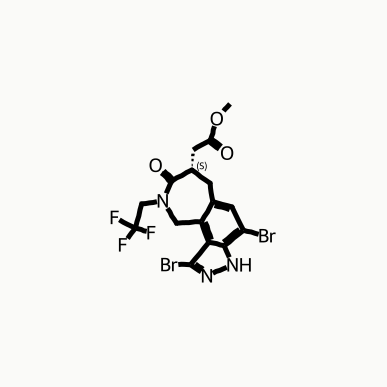 COC(=O)C[C@@H]1Cc2cc(Br)c3[nH]nc(Br)c3c2CN(CC(F)(F)F)C1=O